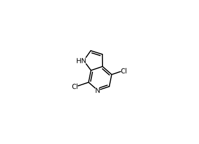 Clc1cnc(Cl)c2[nH]ccc12